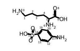 NCCCCC(N)C(=O)O.Nc1ccc(S(=O)(=O)O)cc1